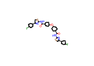 O=C(Nc1nc(-c2ccc(F)cc2)cs1)c1ccc(Oc2ccc(C(=O)Nc3nc(-c4ccc(F)cc4)cs3)cc2)cc1